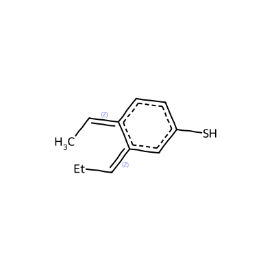 C/C=c1/ccc(S)c/c1=C/CC